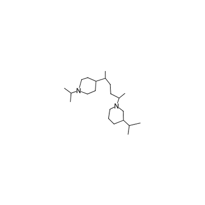 CC(C)C1CCCN(C(C)CCC(C)C2CCN(C(C)C)CC2)C1